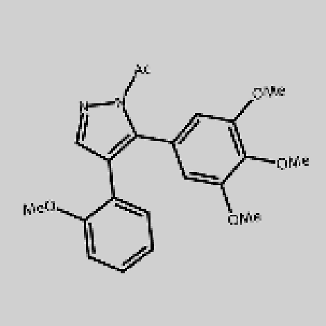 COc1ccccc1-c1cnn(C(C)=O)c1-c1cc(OC)c(OC)c(OC)c1